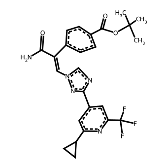 CC(C)(C)OC(=O)c1ccc(/C(=C\n2cnc(-c3cc(C4CC4)nc(C(F)(F)F)c3)n2)C(N)=O)cc1